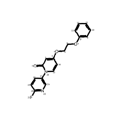 O=c1cc(OCCOc2ccccc2)ccn1-c1ccc(F)nc1